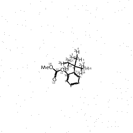 [2H]C([2H])([2H])C(c1ccccc1OC(=O)OC)(C([2H])([2H])[2H])C([2H])([2H])[2H]